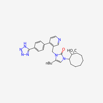 CCCCc1cn(C2CCCCCCC2C(=O)O)c(=O)n1Cc1cnccc1-c1ccc(-c2nnn[nH]2)cc1